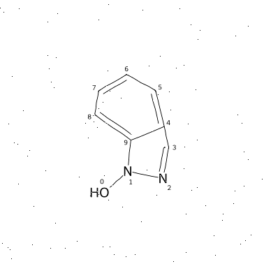 On1n[c]c2ccccc21